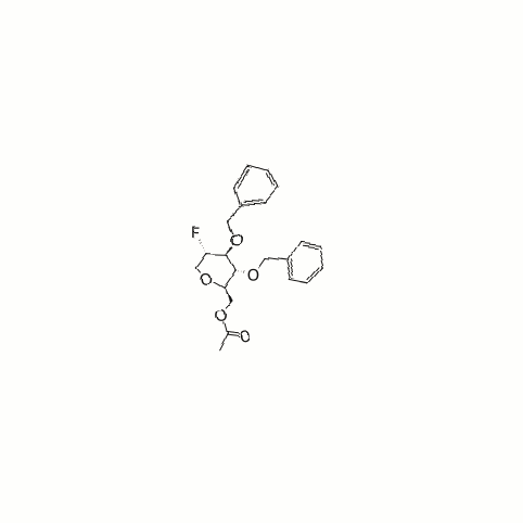 CC(=O)OC[C@H]1OC[C@H](F)[C@@H](OCc2ccccc2)[C@@H]1OCc1ccccc1